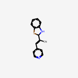 N#C/C(=C\c1ccncc1)C1Nc2ccccc2S1